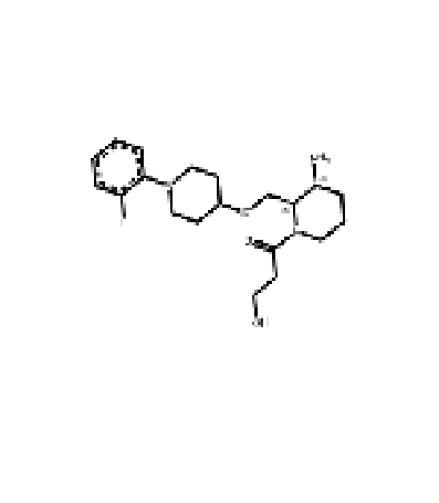 N[C@H]1CCCN(C(=O)CCO)[C@H]1COC1CCN(c2ccccc2F)CC1